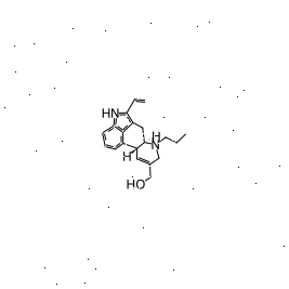 C=Cc1[nH]c2cccc3c2c1C[C@@H]1[C@@H]3C=C(CO)CN1CCC